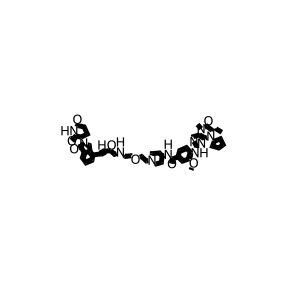 CC[C@@H]1C(=O)N(C)c2cnc(Nc3ccc(C(=O)NC4CCN(CCOCCNCC(O)C#Cc5cccc6c5CN(C5CCC(=O)NC5=O)C6=O)CC4)cc3OC)nc2N1C1CCCC1